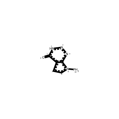 O=c1[nH]nnc2c1ccn2P